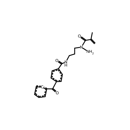 C=C(C)C(=O)N(N)CCCNC(=O)c1ccc(C(=O)c2ccccc2)cc1